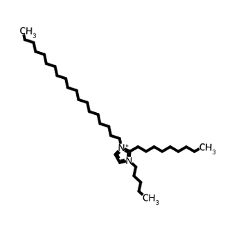 CCCCCCCCCCCCCCCCCCC[n+]1ccn(CCCCC)c1CCCCCCCCC